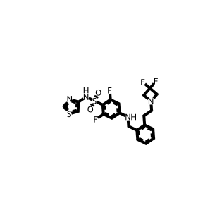 O=S(=O)(Nc1cscn1)c1c(F)cc(NCc2ccccc2CCN2CC(F)(F)C2)cc1F